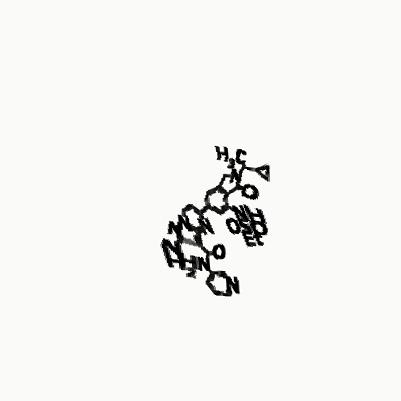 CCS(=O)(=O)Nc1cc(-c2ccn3nc(N)c(C(=O)Nc4cccnc4)c3n2)cc2c1C(=O)N(C(C)C1CC1)C2